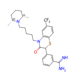 C[C@@H]1CCC[C@H](C)N1CCCCCN1C(=O)C(c2cccc(C(=N)N)c2)Sc2ccc(C(F)(F)F)cc21